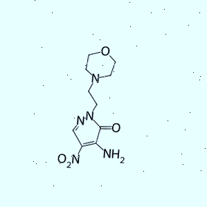 Nc1c([N+](=O)[O-])cnn(CCN2CCOCC2)c1=O